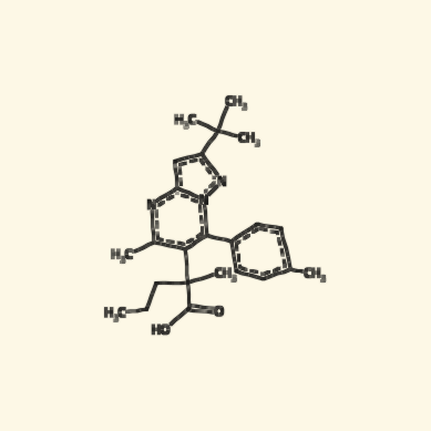 CCCC(C)(C(=O)O)c1c(C)nc2cc(C(C)(C)C)nn2c1-c1ccc(C)cc1